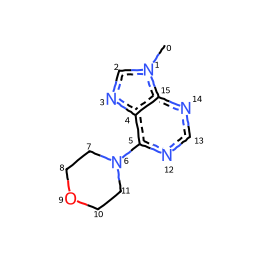 Cn1cnc2c(N3CCOCC3)ncnc21